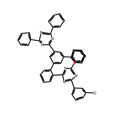 Clc1cccc(-c2nc(-c3ccccc3)nc(-c3ccccc3-c3cc(-c4ccccc4)cc(-c4nc(-c5ccccc5)nc(-c5ccccc5)n4)c3)n2)c1